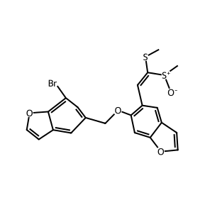 CSC(=Cc1cc2ccoc2cc1OCc1cc(Br)c2occc2c1)[S+](C)[O-]